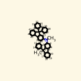 CN(c1ccc2c(c1)C(C)(c1ccccc1)c1ccccc1-2)c1ccc2c(c1)C(c1ccccc1)(c1ccccc1)c1ccccc1-2